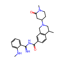 CNc1ccccc1C(=N)NC(=O)c1ccc2c(c1)CN(C1CCN(C)C(=O)C1)CC2C